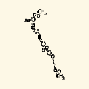 C=CC(=O)OCCCCCCOc1ccc(C(=O)Oc2ccc(/C=N/N=C/c3ccc(OOCc4ccc(OC(=O)C=C)cc4C(C)=O)cc3)cc2)cc1